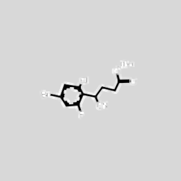 CC(C)(C)OC(=O)CCC(C#N)c1c(F)cc(Br)cc1Cl